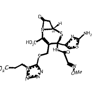 CON=CC(=O)NC1(c2csc(N)n2)S[C@H]2CC(=O)N2C(C(=O)O)=C1CSc1nnnn1CCC(=O)O